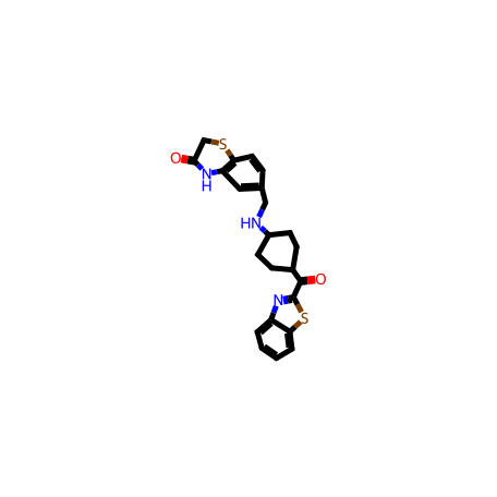 O=C1CSc2ccc(CNC3CCC(C(=O)c4nc5ccccc5s4)CC3)cc2N1